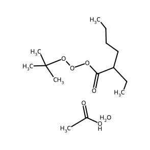 CC(=O)O.CCCCC(CC)C(=O)OOOC(C)(C)C.O